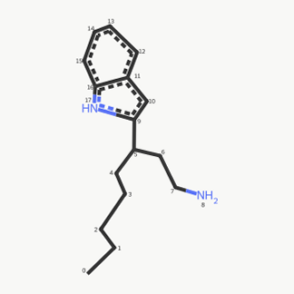 CCCCCC(CCN)c1cc2ccccc2[nH]1